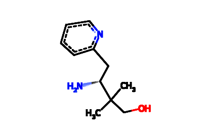 CC(C)(CO)[C@H](N)Cc1ccccn1